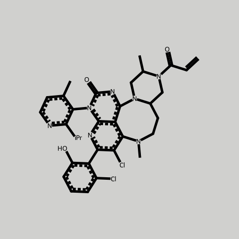 C=CC(=O)N1CC2CCN(C)c3c(Cl)c(-c4c(O)cccc4Cl)nc4c3c(nc(=O)n4-c3c(C)ccnc3C(C)C)N2CC1C